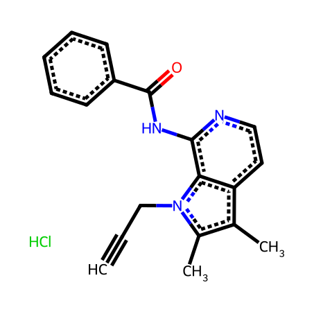 C#CCn1c(C)c(C)c2ccnc(NC(=O)c3ccccc3)c21.Cl